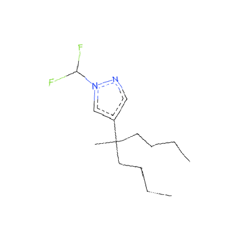 CCCCC(C)(CCCC)c1cnn(C(F)F)c1